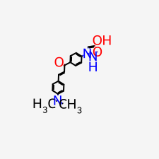 CN(C)c1ccc(C=CC(=O)c2ccc(N3C=C(O)ON3)cc2)cc1